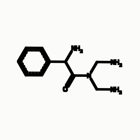 NCN(CN)C(=O)C(N)c1ccccc1